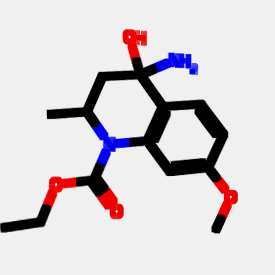 CCOC(=O)N1c2cc(OC)ccc2C(N)(O)CC1C